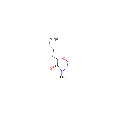 CCCCCCCCCCC1OCCN(C)C1=O